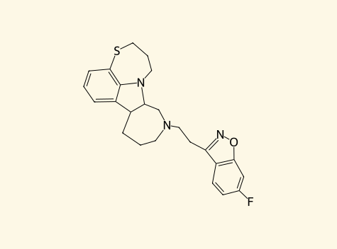 Fc1ccc2c(CCN3CCCC4c5cccc6c5N(CCCS6)C4C3)noc2c1